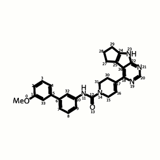 COc1cccc(-c2cccc(NC(=O)N3CC=C(c4ncnc5[nH]c6c(c45)CCC6)CC3)c2)c1